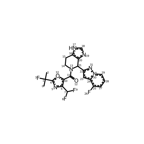 CC(C)(F)c1nc(C(F)F)c(C(=O)N2CCc3[nH]cnc3C2c2cc3c(F)cccn3n2)o1